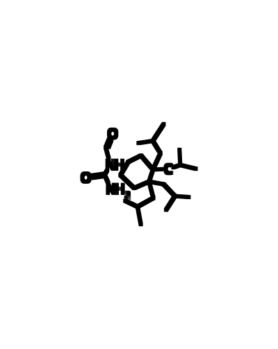 CC(C)CC1(CC(C)C)CCCCC1(CC(C)C)CC(C)C.NC(=O)NC=O